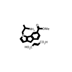 COC(=O)c1ccc2c(c1)-c1c(ccn1CC(C)N)C2.O=C(O)/C=C/C(=O)O